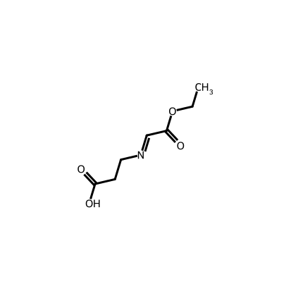 CCOC(=O)C=NCCC(=O)O